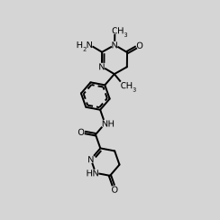 CN1C(=O)CC(C)(c2cccc(NC(=O)C3=NNC(=O)CC3)c2)N=C1N